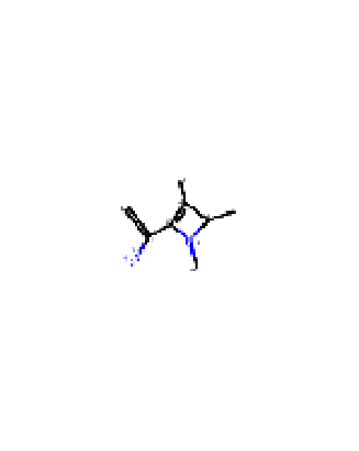 C=C(N)C1=C(C)C(C)N1C